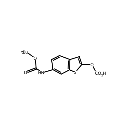 CC(C)(C)OC(=O)Nc1ccc2cc(OC(=O)O)sc2c1